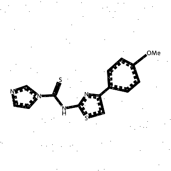 COc1ccc(-c2csc(NC(=S)n3ccnc3)n2)cc1